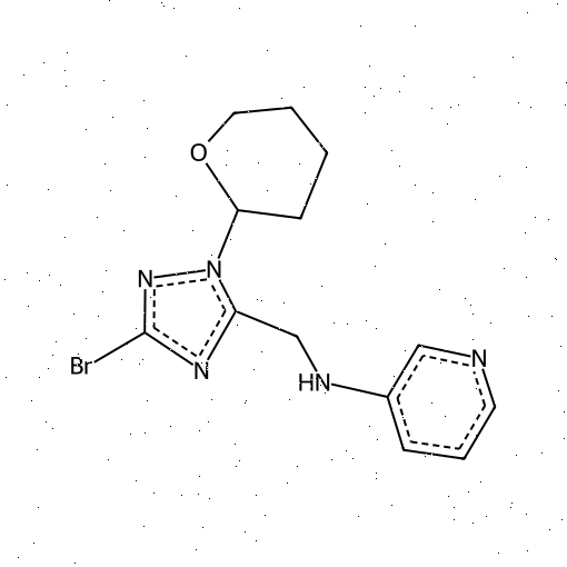 Brc1nc(CNc2cccnc2)n(C2CCCCO2)n1